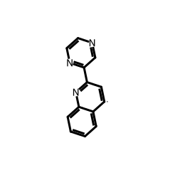 [c]1cc(-c2cnccn2)nc2ccccc12